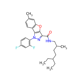 CCC(CC)CCC(C)CNC(=O)c1nn(-c2ccc(F)cc2F)c2c1oc1cc(C)ccc12